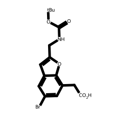 CC(C)(C)OC(=O)NCc1cc2cc(Br)cc(CC(=O)O)c2o1